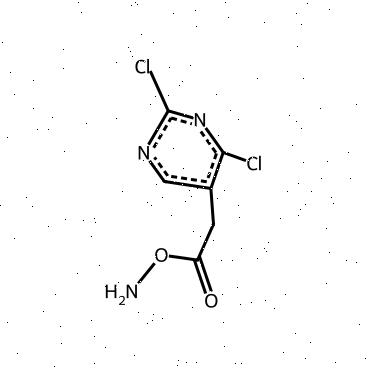 NOC(=O)Cc1cnc(Cl)nc1Cl